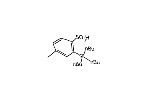 CCCC[Si](CCCC)(CCCC)c1cc(C)ccc1S(=O)(=O)O